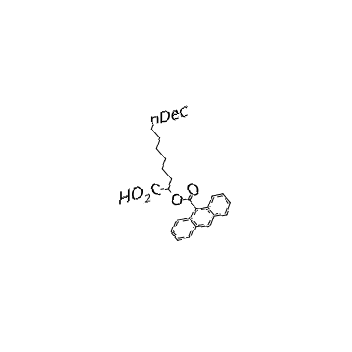 CCCCCCCCCCCCCCCCC(OC(=O)c1c2ccccc2cc2ccccc12)C(=O)O